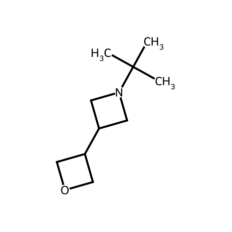 CC(C)(C)N1CC(C2COC2)C1